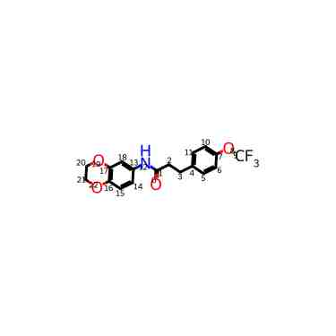 O=C(CCc1ccc(OC(F)(F)F)cc1)Nc1ccc2c(c1)OCCO2